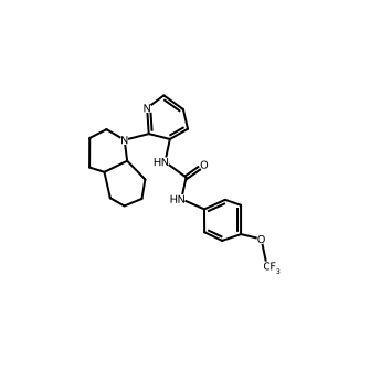 O=C(Nc1ccc(OC(F)(F)F)cc1)Nc1cccnc1N1CCCC2CCCCC21